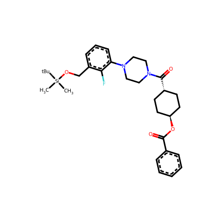 CC(C)(C)[Si](C)(C)OCc1cccc(N2CCN(C(=O)[C@H]3CC[C@H](OC(=O)c4ccccc4)CC3)CC2)c1F